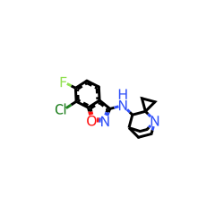 Fc1ccc2c(NC3C4CCN(CC4)C34CC4)noc2c1Cl